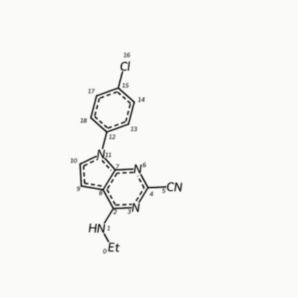 CCNc1nc(C#N)nc2c1ccn2-c1ccc(Cl)cc1